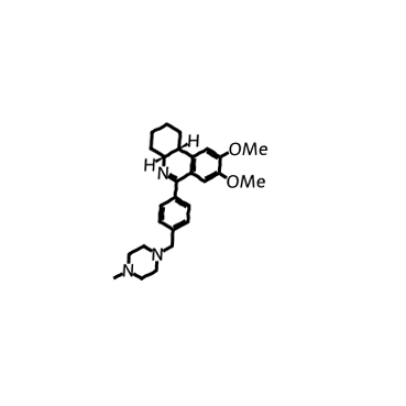 COc1cc2c(cc1OC)[C@H]1CCCC[C@H]1N=C2c1ccc(CN2CCN(C)CC2)cc1